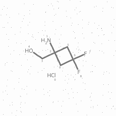 Cl.NC1(CO)CC(F)(F)C1